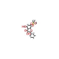 O=c1c(O)c(-c2ccccc2)oc2cc(OS(=O)(=O)C(F)(F)F)cc(O)c12